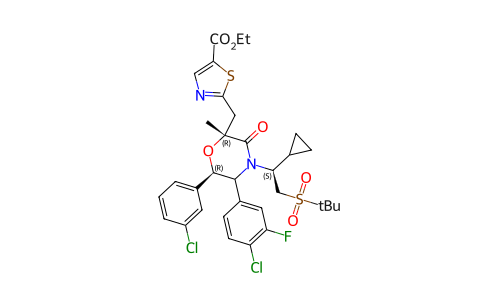 CCOC(=O)c1cnc(C[C@@]2(C)O[C@H](c3cccc(Cl)c3)C(c3ccc(Cl)c(F)c3)N([C@H](CS(=O)(=O)C(C)(C)C)C3CC3)C2=O)s1